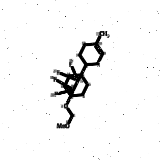 COCOC12CCC(C3CC=C(C)CC3)(CC1)C(F)(F)C2(F)F